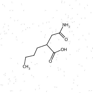 CCCCC(CC(N)=O)C(=O)O